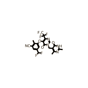 Cc1nc(C)c(Cn2cnc(C(F)(F)C(F)(F)F)c(Oc3cc(C(F)F)cc(C#N)c3C)c2=O)c(=O)[nH]1